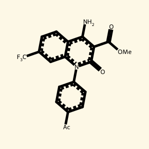 COC(=O)c1c(N)c2ccc(C(F)(F)F)cc2n(-c2ccc(C(C)=O)cc2)c1=O